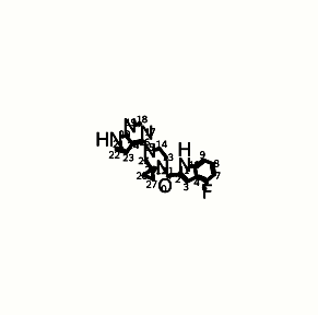 O=C(c1cc2c(F)cccc2[nH]1)N1CCN(c2ncnc3[nH]ccc23)CC12CC2